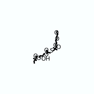 CCC(C)(C)C(=O)OCC(O)COC(=O)CSCC(C)(C)C(=O)OCCOCCOC